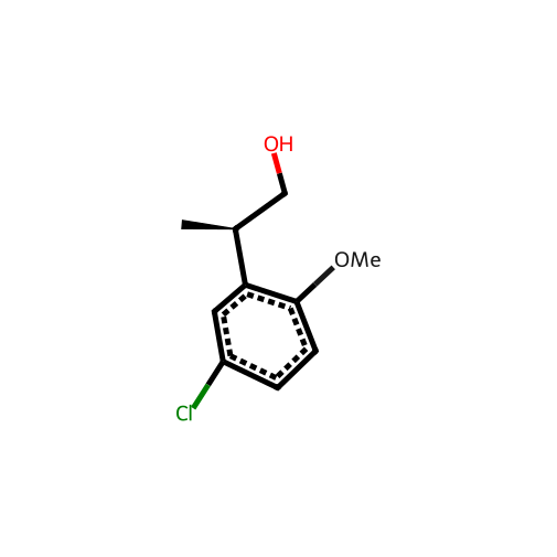 COc1ccc(Cl)cc1[C@@H](C)CO